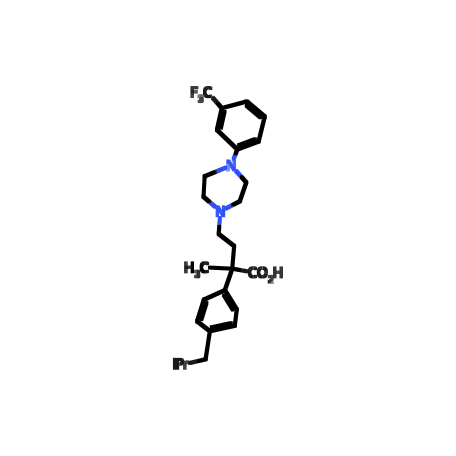 CC(C)Cc1ccc(C(C)(CCN2CCN(c3cccc(C(F)(F)F)c3)CC2)C(=O)O)cc1